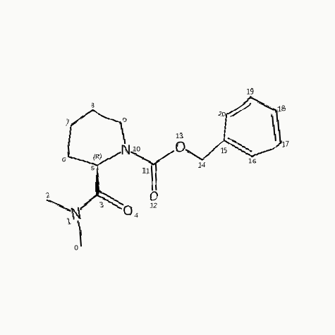 CN(C)C(=O)[C@H]1CCCCN1C(=O)OCc1ccccc1